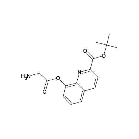 CC(C)(C)OC(=O)c1ccc2cccc(OC(=O)CN)c2n1